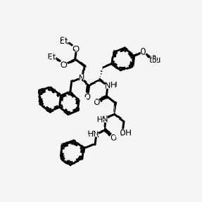 CCOC(CN(Cc1cccc2ccccc12)C(=O)[C@H](Cc1ccc(OC(C)(C)C)cc1)NC(=O)C[C@@H](CO)NC(=O)NCc1ccccc1)OCC